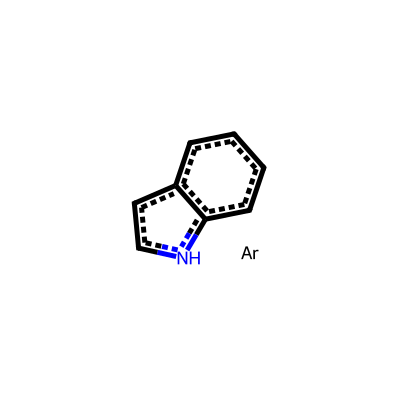 [Ar].c1ccc2[nH]ccc2c1